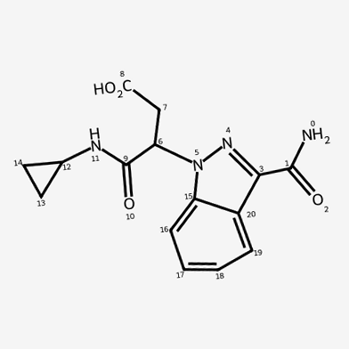 NC(=O)c1nn(C(CC(=O)O)C(=O)NC2CC2)c2ccccc12